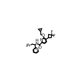 CC(C)CC(NC(=O)c1ccc(C2CC(F)(F)C2)c(OCC2CC2)n1)c1ccccn1